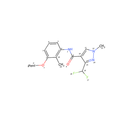 CCCC(C)Oc1cccc(NC(=O)c2cn(C)nc2C(F)F)c1C